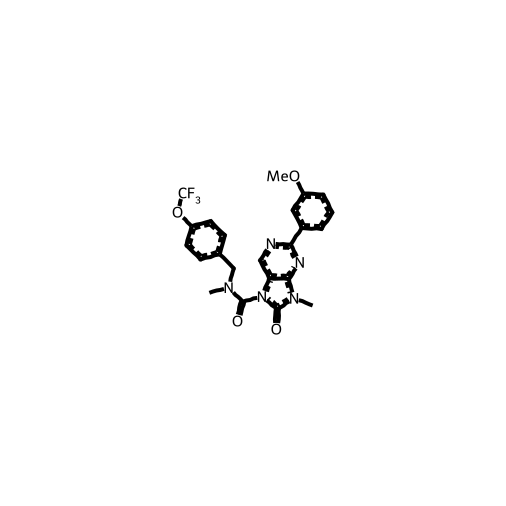 COc1cccc(-c2ncc3c(n2)n(C)c(=O)n3C(=O)N(C)Cc2ccc(OC(F)(F)F)cc2)c1